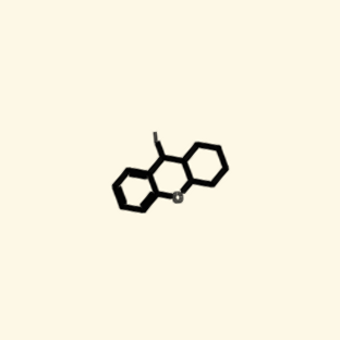 IC1c2ccccc2OC2CCCCC21